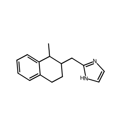 CC1c2ccccc2CCC1Cc1ncc[nH]1